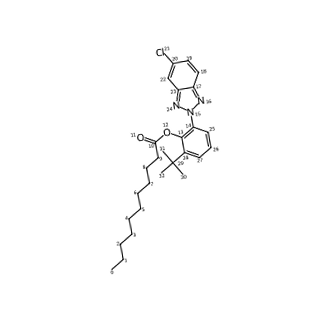 CCCCCCCCCCC(=O)Oc1c(-n2nc3ccc(Cl)cc3n2)cccc1C(C)(C)C